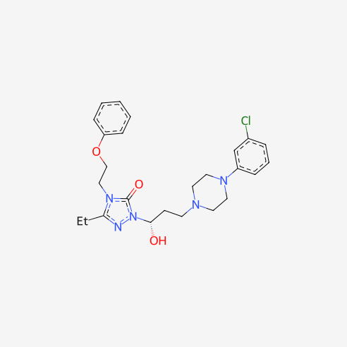 CCc1nn([C@@H](O)CCN2CCN(c3cccc(Cl)c3)CC2)c(=O)n1CCOc1ccccc1